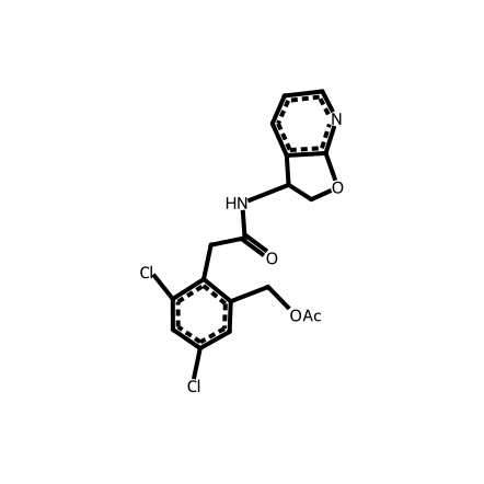 CC(=O)OCc1cc(Cl)cc(Cl)c1CC(=O)NC1COc2ncccc21